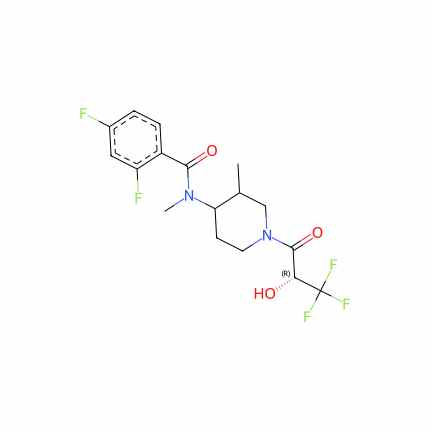 CC1CN(C(=O)[C@@H](O)C(F)(F)F)CCC1N(C)C(=O)c1ccc(F)cc1F